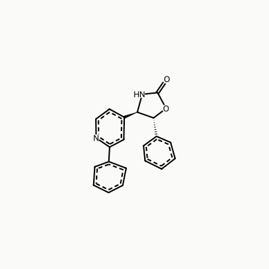 O=C1N[C@H](c2ccnc(-c3ccccc3)c2)[C@@H](c2ccccc2)O1